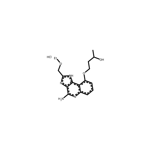 CCOCc1nc2c(N)nc3cccc(OCCC(C)O)c3c2[nH]1.Cl